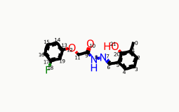 Cc1cccc(C=NNC(=O)COc2cccc(F)c2)c1O